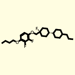 CCCCOc1ccc(OC[C@]2(F)CC[C@@H](C3CCC(CCC)CC3)CC2)c(F)c1F